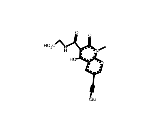 Cn1c(=O)c(C(=O)NCC(=O)O)c(O)c2cc(C#CC(C)(C)C)cnc21